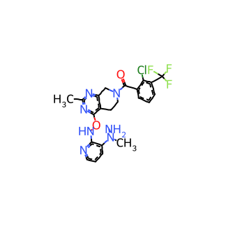 Cc1nc2c(c(ONc3ncccc3N(C)N)n1)CCN(C(=O)c1cccc(C(F)(F)F)c1Cl)C2